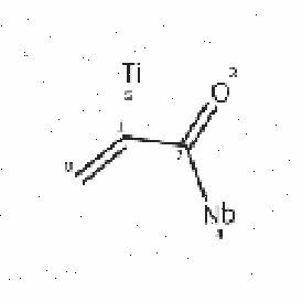 C=C[C](=O)[Nb].[Ti]